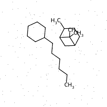 CC1CCC2CC1C2(C)C.CCCCCCC1CCCCC1